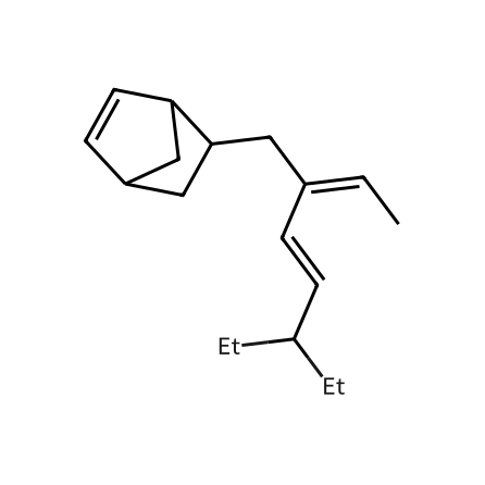 CC=C(C=CC(CC)CC)CC1CC2C=CC1C2